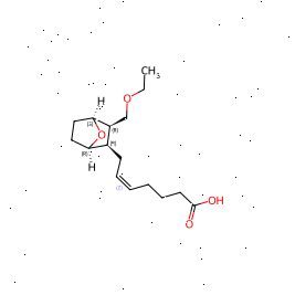 CCOC[C@H]1[C@@H](C/C=C\CCCC(=O)O)[C@H]2CC[C@@H]1O2